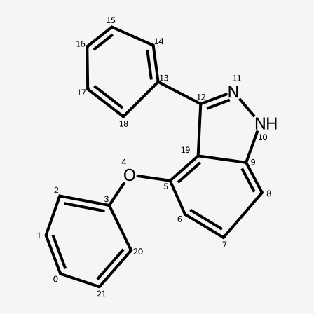 c1ccc(Oc2cccc3[nH]nc(-c4ccccc4)c23)cc1